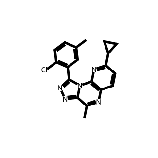 Cc1ccc(Cl)c(-c2nnc3c(C)nc4ccc(C5CC5)nc4n23)c1